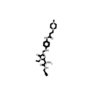 C#CCNC(=O)[C@@H](N)C1S[C@H](CNc2ccc(NC(=O)CCN3CCN(C)CC3)cc2)C(=O)N1CC